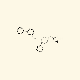 O=c1[nH]nc(CN2CCC(COCc3cccc(-c4ccccc4)c3)(c3ccccc3)CC2)[nH]1